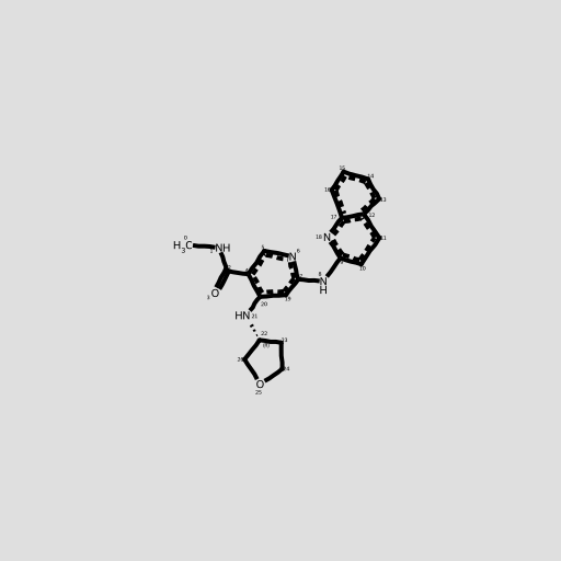 CNC(=O)c1cnc(Nc2ccc3ccccc3n2)cc1N[C@@H]1CCOC1